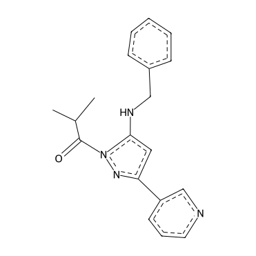 CC(C)C(=O)n1nc(-c2cccnc2)cc1NCc1ccccc1